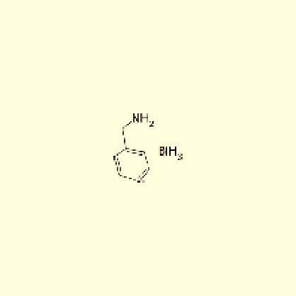 NCc1cc[c]cc1.[BiH3]